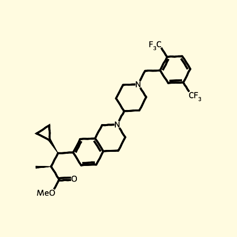 COC(=O)[C@@H](C)[C@H](c1ccc2c(c1)CN(C1CCN(Cc3cc(C(F)(F)F)ccc3C(F)(F)F)CC1)CC2)C1CC1